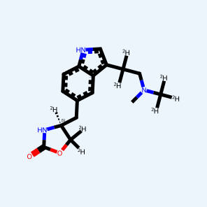 [2H]C([2H])(CN(C)C([2H])([2H])[2H])c1c[nH]c2ccc(C[C@]3([2H])NC(=O)OC3([2H])[2H])cc12